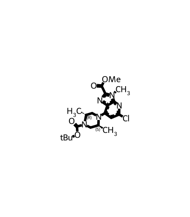 COC(=O)c1nc2c(N3C[C@@H](C)N(C(=O)OC(C)(C)C)C[C@@H]3C)cc(Cl)nc2n1C